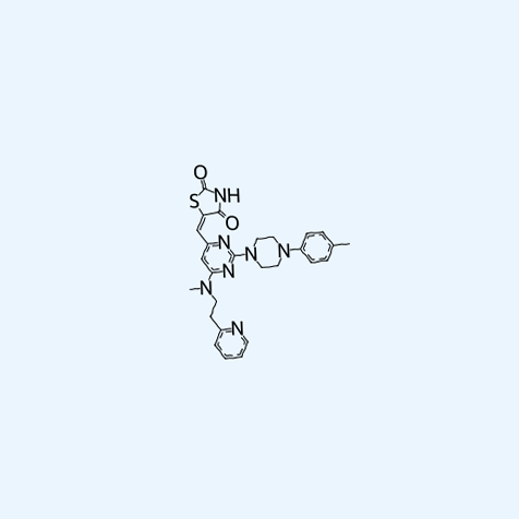 Cc1ccc(N2CCN(c3nc(C=C4SC(=O)NC4=O)cc(N(C)CCc4ccccn4)n3)CC2)cc1